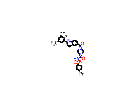 CC(C)c1ccc(S(=O)(=O)NC(=O)N2CCN(C(=O)c3ccc4nc(-c5cc(C(F)(F)F)cc(C(F)(F)F)c5)ccc4c3)CC2)cc1